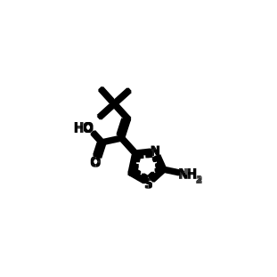 CC(C)(C)C=C(C(=O)O)c1csc(N)n1